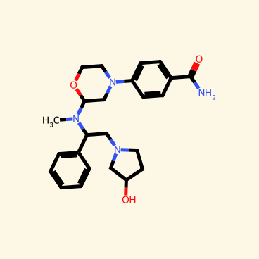 CN(C1CN(c2ccc(C(N)=O)cc2)CCO1)C(CN1CCC(O)C1)c1ccccc1